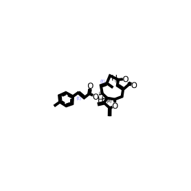 C=C1OC2CC3=C[C@@H](C/C(C)=C/[C@@H](OC(=O)/C=C/c4ccc(C)cc4)[C@@H]2C1=C)OC3=O